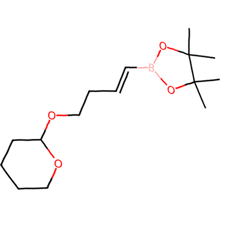 CC1(C)OB(C=CCCOC2CCCCO2)OC1(C)C